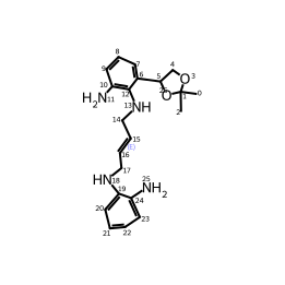 CC1(C)OCC(c2cccc(N)c2NC/C=C/CNc2ccccc2N)O1